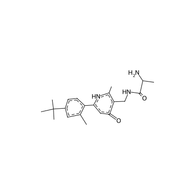 Cc1cc(C(C)(C)C)ccc1-c1cc(=O)c(CNC(=O)C(C)N)c(C)[nH]1